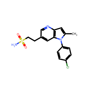 Cc1cc2ncc(CCS(N)(=O)=O)cc2n1-c1ccc(Cl)cc1